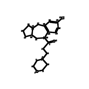 O=C(CCN1CCOCC1)N1CC2CCCN2Cc2cc(Cl)ccc21